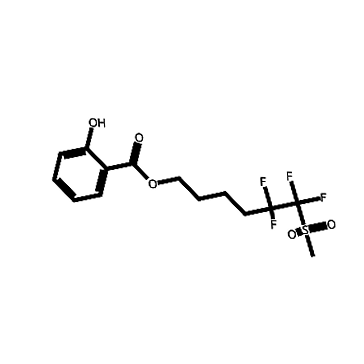 CS(=O)(=O)C(F)(F)C(F)(F)CCCCOC(=O)c1ccccc1O